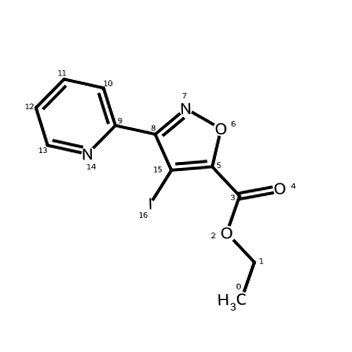 CCOC(=O)c1onc(-c2ccccn2)c1I